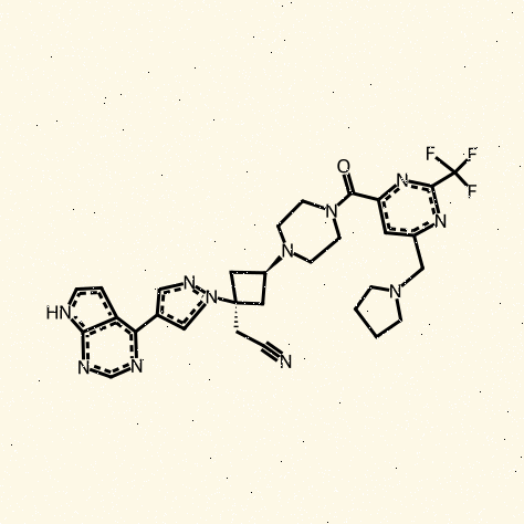 N#CC[C@]1(n2cc(-c3ncnc4[nH]ccc34)cn2)C[C@@H](N2CCN(C(=O)c3cc(CN4CCCC4)nc(C(F)(F)F)n3)CC2)C1